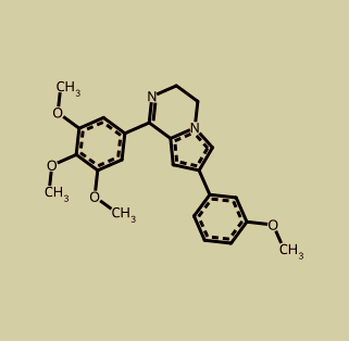 COc1cccc(-c2cc3n(c2)CCN=C3c2cc(OC)c(OC)c(OC)c2)c1